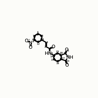 O=C(/C=C/c1cccc([N+](=O)[O-])c1)Nc1ccc2c(c1)C(=O)NC2=O